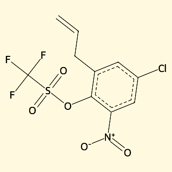 C=CCc1cc(Cl)cc([N+](=O)[O-])c1OS(=O)(=O)C(F)(F)F